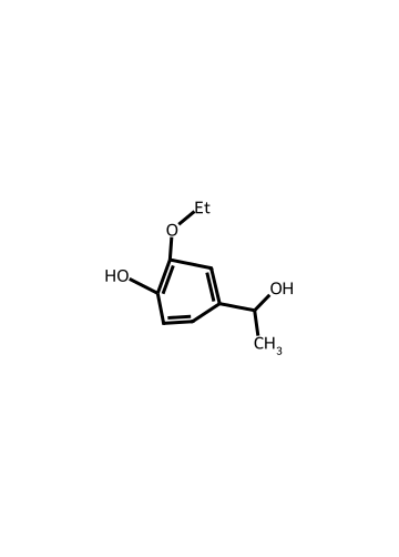 CCOc1cc(C(C)O)ccc1O